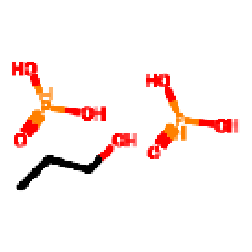 CCCO.O=[PH](O)O.O=[PH](O)O